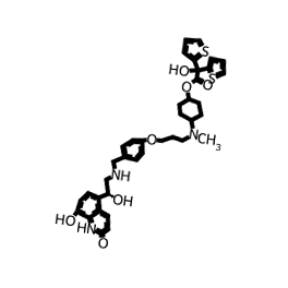 CN(CCCOc1ccc(CNC[C@@H](O)c2ccc(O)c3[nH]c(=O)ccc23)cc1)C1CCC(OC(=O)C(O)(c2cccs2)c2cccs2)CC1